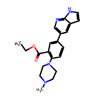 CCOC(=O)c1cc(-c2cnc3[nH]ccc3c2)ccc1N1CCN(C)CC1